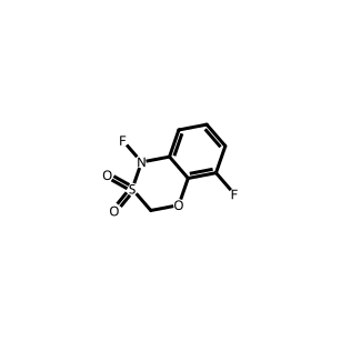 O=S1(=O)COc2c(F)cccc2N1F